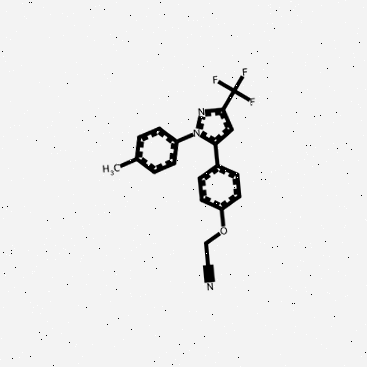 Cc1ccc(-n2nc(C(F)(F)F)cc2-c2ccc(OCC#N)cc2)cc1